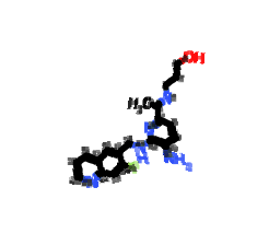 C/C(=N\CCCO)c1ccc(N)c(NCc2cc3cccnc3cc2F)n1